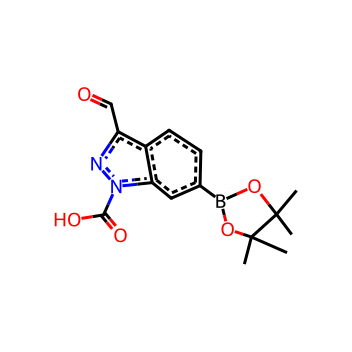 CC1(C)OB(c2ccc3c(C=O)nn(C(=O)O)c3c2)OC1(C)C